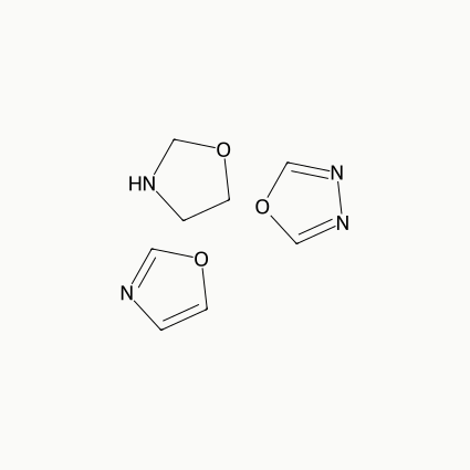 C1COCN1.c1cocn1.c1nnco1